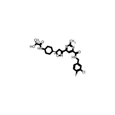 Cc1nc(C(=O)NCc2ccc(F)c(Cl)c2)cc(C2=NO[C@@H](C3CCC(NC(=O)[C@H](C)O)CC3)C2)n1